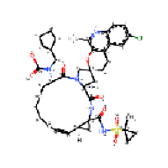 Cc1nc2ccc(Cl)cc2c2c1O[C@]1(CC2)C[C@H]2C(=O)N[C@]3(C(=O)NS(=O)(=O)C4(C)CC4)C[C@H]3/C=C\CCCCC[C@H](N(CC3CCCC3)C(=O)O)C(=O)N2C1